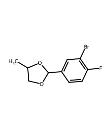 CC1COC(c2ccc(F)c(Br)c2)O1